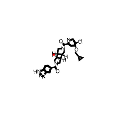 O=C(c1ccc2[nH]nnc2c1)N1C[C@@H]2[C@H](C1)[C@H]1CN(C(=O)c3cc(OCC4CC4)c(Cl)cn3)C[C@@H]21